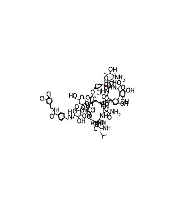 CN[C@H](CC(C)C)C(=O)N[C@H]1C(=O)N[C@@H](CC(N)=O)C(=O)N[C@H]2C(=O)N[C@H]3C(=O)N[C@H](C(=O)N[C@@H](C(=O)O)c4cc(O)cc(O)c4-c4cc3ccc4O)[C@H](OC3C[C@](C)(N)[C@@H](O)[C@H](C)O3)c3ccc(c(Cl)c3)Oc3cc2cc(c3O[C@@H]2O[C@H](CO)[C@@H](O[C@@H]3O[C@H](CNCc4ccc(C(=O)NCc5ccc(Cl)c(Cl)c5)cc4)[C@H](O)[C@H](O)[C@H]3O)[C@H](O)[C@H]2O)Oc2ccc(cc2Cl)[C@H]1O